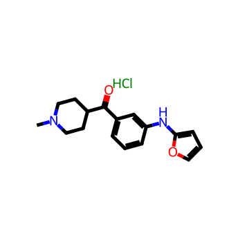 CN1CCC(C(=O)c2cccc(Nc3ccco3)c2)CC1.Cl